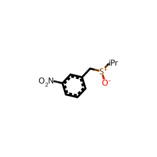 CC(C)[S+]([O-])Cc1cccc([N+](=O)[O-])c1